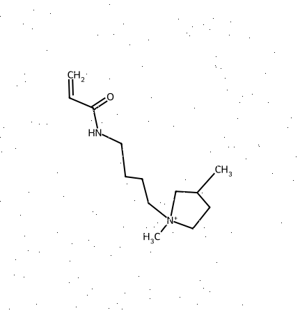 C=CC(=O)NCCCC[N+]1(C)CCC(C)C1